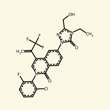 C=C(c1cn(-c2c(F)cccc2Cl)c(=O)c2ccc(-n3nc(CO)n(CC)c3=O)cc12)C(F)(F)F